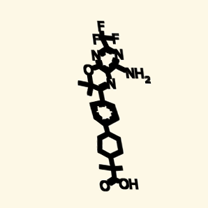 CC1(C)Oc2nc(C(F)(F)F)nc(N)c2N=C1c1ccc(C2CCC(C(C)(C)C(=O)O)CC2)cc1